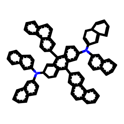 C1=CC2=CC(N(c3ccc4ccccc4c3)c3ccc4c(-c5ccc6c(ccc7ccccc76)c5)c5c(c(-c6ccc7c(ccc8ccccc87)c6)c4c3)=CCC(N(c3ccc4ccccc4c3)c3ccc4ccccc4c3)C=5)=CCC2C=C1